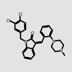 CN1CCN(c2ccccc2C=C2C(=O)N(Cc3ccc(Cl)c(Cl)c3)c3ccccc32)CC1